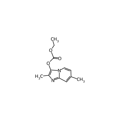 CCOC(=O)Oc1c(C)nc2cc(C)ccn12